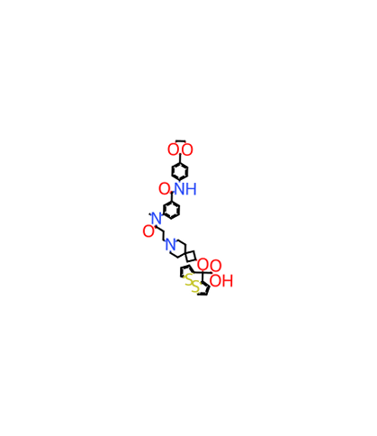 CN(C(=O)CCN1CCC2(CC1)CC(OC(C(=O)O)(c1cccs1)c1cccs1)C2)c1cccc(C(=O)Nc2ccc(C3OCCO3)cc2)c1